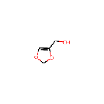 OCC1=COCO1